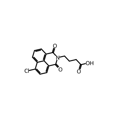 O=C(O)CCCN1C(=O)c2cccc3c(Cl)ccc(c23)C1=O